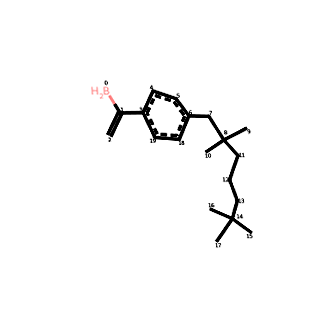 BC(=C)c1ccc(CC(C)(C)CCCC(C)(C)C)cc1